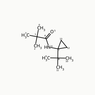 CC(C)(C)C(=O)NC1(C(C)(C)C)CC1